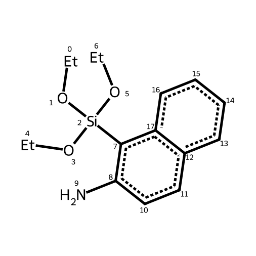 CCO[Si](OCC)(OCC)c1c(N)ccc2ccccc12